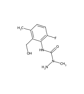 Cc1ccc(F)c(NC(=O)N(C)N)c1CO